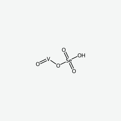 [O]=[V][O][Se](=O)(=O)O